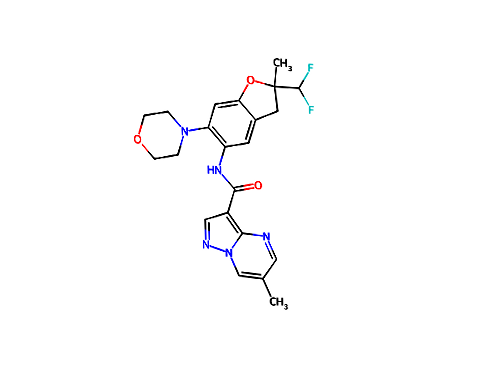 Cc1cnc2c(C(=O)Nc3cc4c(cc3N3CCOCC3)OC(C)(C(F)F)C4)cnn2c1